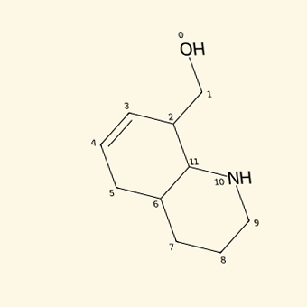 OCC1C=CCC2CCCNC12